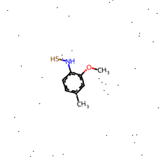 COc1cc(C)ccc1NS